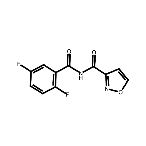 O=C(NC(=O)c1cc(F)ccc1F)c1ccon1